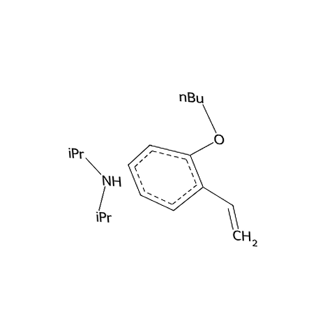 C=Cc1ccccc1OCCCC.CC(C)NC(C)C